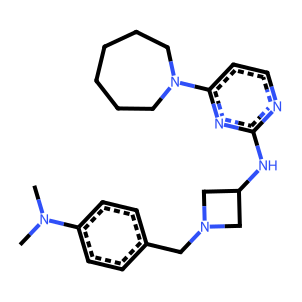 CN(C)c1ccc(CN2CC(Nc3nccc(N4CCCCCC4)n3)C2)cc1